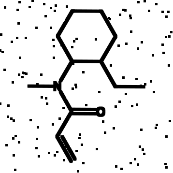 C=CC(=O)N(C)C1CCCCC1CC